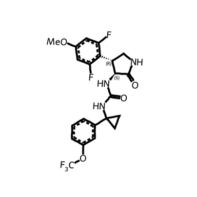 COc1cc(F)c([C@@H]2CNC(=O)[C@H]2NC(=O)NC2(c3cccc(OC(F)(F)F)c3)CC2)c(F)c1